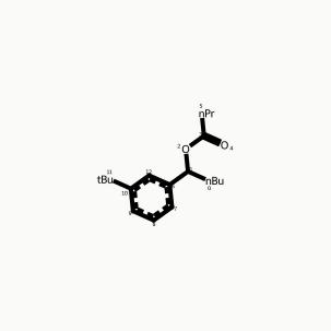 CCCCC(OC(=O)CCC)c1cccc(C(C)(C)C)c1